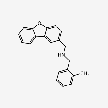 Cc1ccccc1CNCc1ccc2oc3ccccc3c2c1